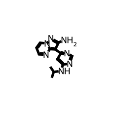 CC(C)Nc1cc(-c2c(N)nn3cccnc23)ncn1